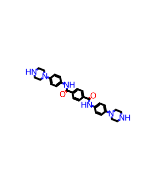 O=C(Nc1ccc(N2CCNCC2)cc1)c1ccc(C(=O)Nc2ccc(N3CCNCC3)cc2)cc1